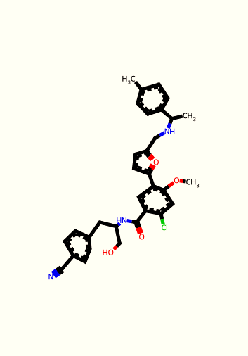 COc1cc(Cl)c(C(=O)NC(CO)Cc2ccc(C#N)cc2)cc1-c1ccc(CNC(C)c2ccc(C)cc2)o1